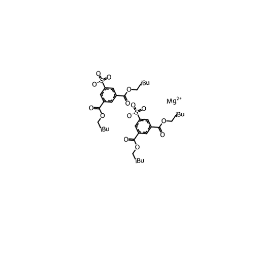 CCC(C)COC(=O)c1cc(C(=O)OCC(C)CC)cc(S(=O)(=O)[O-])c1.CCC(C)COC(=O)c1cc(C(=O)OCC(C)CC)cc(S(=O)(=O)[O-])c1.[Mg+2]